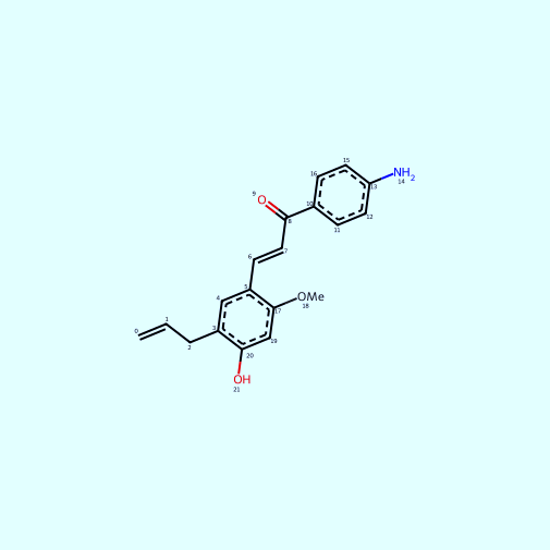 C=CCc1cc(C=CC(=O)c2ccc(N)cc2)c(OC)cc1O